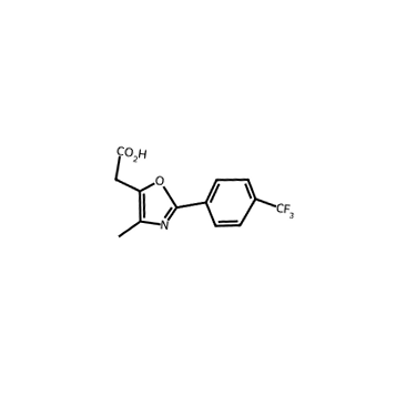 Cc1nc(-c2ccc(C(F)(F)F)cc2)oc1CC(=O)O